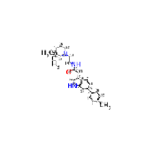 Cc1ccc(-c2ccc3c(CC(=O)NCCN4CCCC(C)(C)C4)c[nH]c3c2)cc1